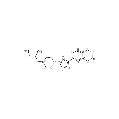 OCC(O)CN1CCC(c2nc(-c3ccc4c(c3)CCCC4)cs2)CC1